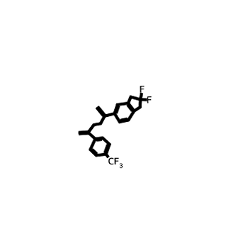 C=C(CCC(=C)c1ccc2c(c1)CC(F)(F)C2)c1ccc(C(F)(F)F)cc1